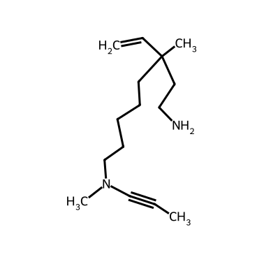 C=CC(C)(CCN)CCCCCN(C)C#CC